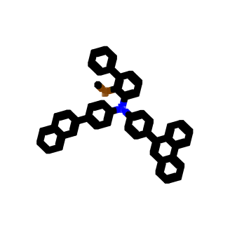 CSc1c(-c2ccccc2)cccc1N(c1ccc(-c2ccc3c(c2)=CCCC=3)cc1)c1ccc(-c2cc3ccccc3c3ccccc23)cc1